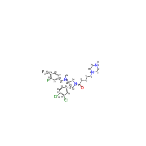 CN1CCN(CCCCC(=O)N2C[C@H](c3ccc(Cl)c(Cl)c3)[C@H](N(C)Cc3ccc(C(F)(F)F)c(F)c3)C2)CC1